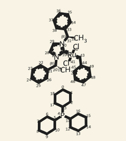 C1CCC(P(C2CCCCC2)C2CCCCC2)CC1.C[C@H](c1ccccc1)n1ccn([C@H](C)c2ccccc2)[c]1=[Ru]([Cl])([Cl])=[CH]c1ccccc1